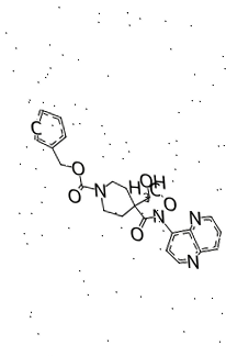 CON(C(=O)C1(CO)CCN(C(=O)OCc2ccccc2)CC1)c1ccnc2cccnc12